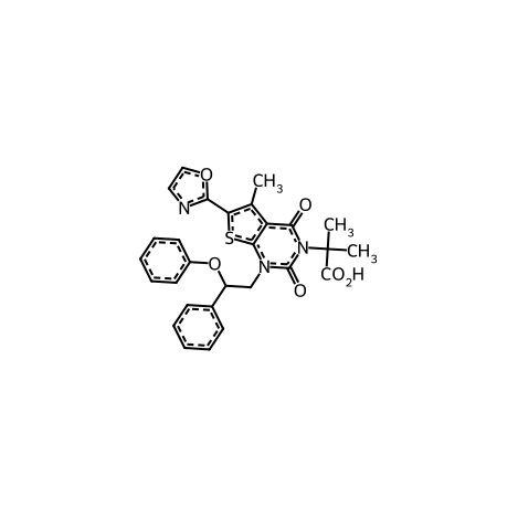 Cc1c(-c2ncco2)sc2c1c(=O)n(C(C)(C)C(=O)O)c(=O)n2CC(Oc1ccccc1)c1ccccc1